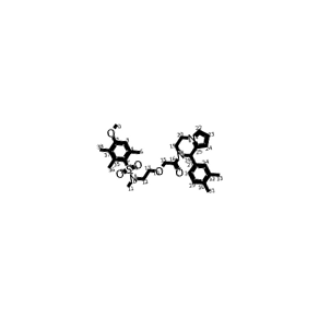 COc1cc(C)c(S(=O)(=O)N(C)CCOCC(=O)N2CCn3cccc3C2c2ccc(C)c(C)c2)c(C)c1C